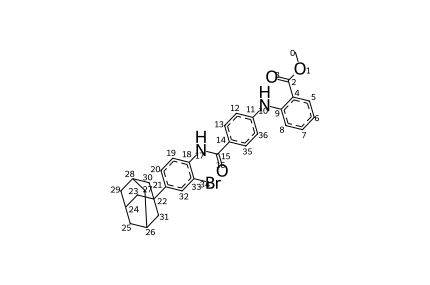 COC(=O)c1ccccc1Nc1ccc(C(=O)Nc2ccc(C34CC5CC(CC(C5)C3)C4)cc2Br)cc1